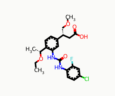 CCO[C@H](C)c1ccc([C@H](COC)CC(=O)O)cc1NC(=O)Nc1ccc(Cl)cc1F